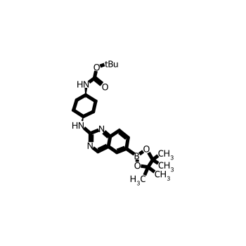 CC(C)(C)OC(=O)N[C@H]1CC[C@H](Nc2ncc3cc(B4OC(C)(C)C(C)(C)O4)ccc3n2)CC1